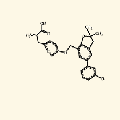 CC(Cc1ccc(OCc2cc(-c3cccc(Cl)c3)cc3c2OC(C)(C)C3)cc1)C(=O)O